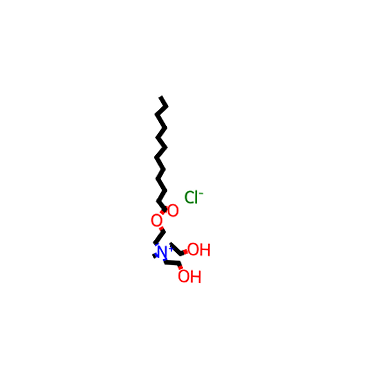 CCCCCCCCCCCC(=O)OCC[N+](C)(CCO)CCO.[Cl-]